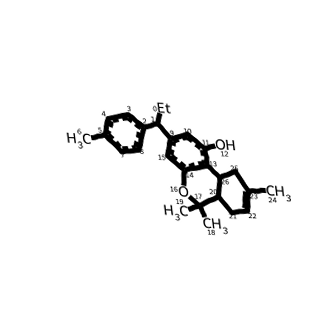 CCC(c1ccc(C)cc1)c1cc(O)c2c(c1)OC(C)(C)C1CC=C(C)CC21